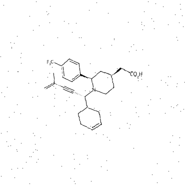 C=C(C)C#C[C@@H](C1CC=CCC1)N1CC[C@H](CC(=O)O)C[C@@H]1c1ccc(C(F)(F)F)cc1